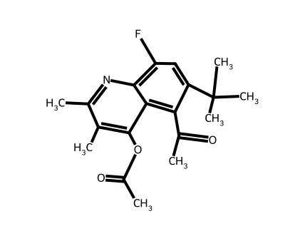 CC(=O)Oc1c(C)c(C)nc2c(F)cc(C(C)(C)C)c(C(C)=O)c12